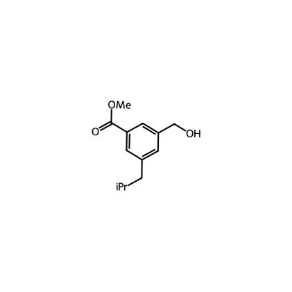 COC(=O)c1cc(CO)cc(CC(C)C)c1